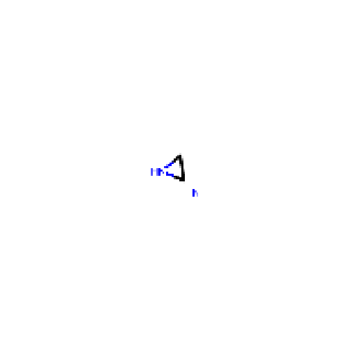 C1CN1.[N]